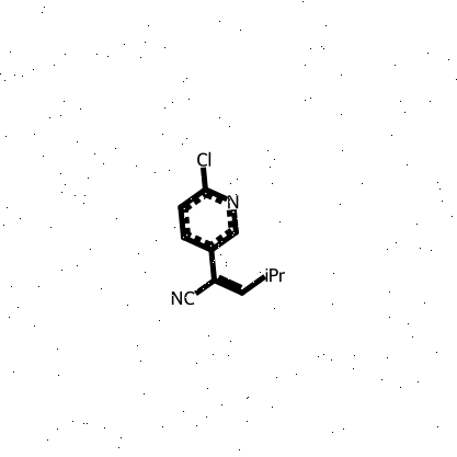 CC(C)/C=C(/C#N)c1ccc(Cl)nc1